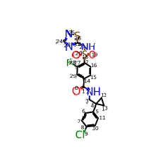 O=C(NCC1(c2ccc(Cl)cc2)CC1)c1ccc(S(=O)(=O)Nc2ncns2)c(F)c1